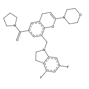 O=C(c1cc2c(c(CN3CCc4c(F)cc(F)cc43)c1)OC(N1CCOCC1)=CC2)N1CCCC1